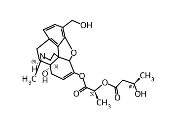 C[C@H](OC(=O)C[C@@H](C)O)C(=O)OC1=CC[C@@]2(O)[C@H]3Cc4ccc(CO)c5c4C2(CCN3C)C1O5